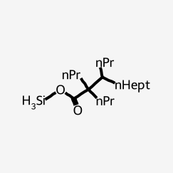 CCCCCCCC(CCC)C(CCC)(CCC)C(=O)O[SiH3]